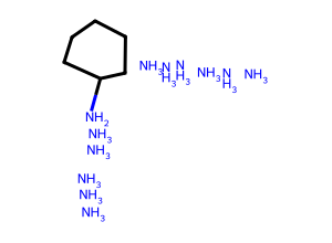 N.N.N.N.N.N.N.N.N.N.N.NC1CCCCC1